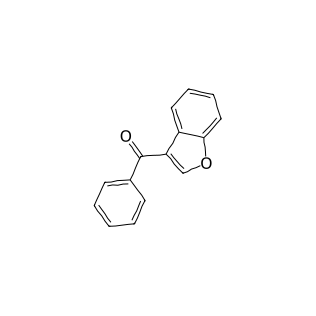 O=C(c1ccccc1)c1coc2ccccc12